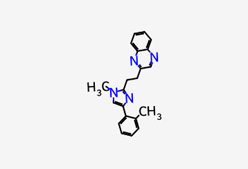 Cc1ccccc1-c1cn(C)c(CCc2cnc3ccccc3n2)n1